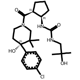 CC(C)(O)CNC(=O)N[C@@H]1CCC[C@@H]1C(=O)N1CC[C@](O)(c2ccc(Cl)cc2)C(C)(C)C1